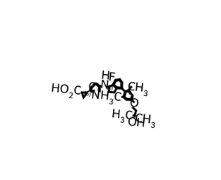 Cc1cc(OCCC(C)(C)O)cc(C)c1-c1ccc(F)c2c1CC[C@H]2Nc1ccc([C@H]2CC2C(=O)O)nc1